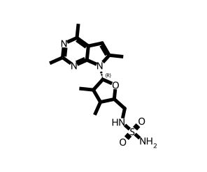 Cc1nc(C)c2cc(C)n([C@@H]3OC(CNS(N)(=O)=O)C(C)C3C)c2n1